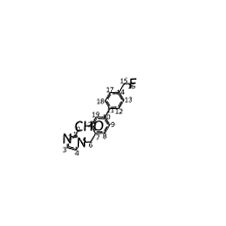 O=Cc1nccn1Cc1ccc(-c2ccc(CF)cc2)cc1